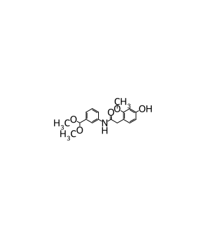 COc1cc(O)ccc1CC(=O)Nc1cccc(C(OC)OC)c1